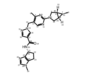 Cc1nc(N2C[C@@H]3[C@@H](C)[C@@H]3C2)ncc1Cn1cc(C(=O)N[C@@H]2CCc3c2ncn3C)cn1